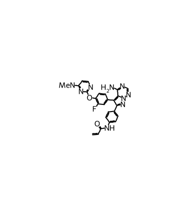 C=CC(=O)Nc1ccc(-c2nn3ncnc(N)c3c2-c2ccc(Oc3nccc(NC)n3)c(F)c2)cc1